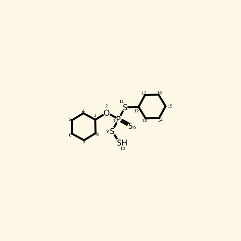 S=P(OC1CCCCC1)(SS)SC1CCCCC1